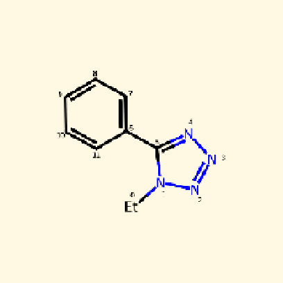 CCn1nnnc1-c1cc[c]cc1